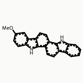 COc1ccc2[nH]c3c(ccc4c3ccc3c5ccccc5[nH]c34)c2c1